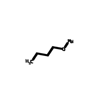 CCCC[O][Pb]